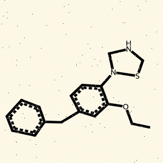 CCOc1cc(Cc2ccccc2)ccc1N1CNCS1